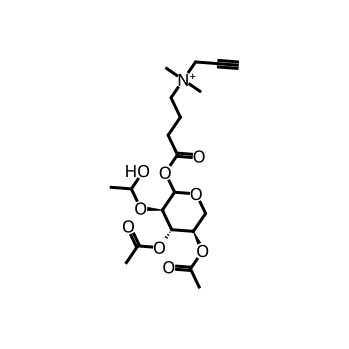 C#CC[N+](C)(C)CCCC(=O)OC1OC[C@@H](OC(C)=O)[C@H](OC(C)=O)[C@H]1OC(C)O